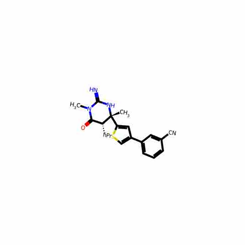 CCC[C@@H]1C(=O)N(C)C(=N)N[C@]1(C)c1cc(-c2cccc(C#N)c2)cs1